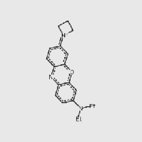 CCN(CC)c1ccc2nc3ccc(=[N+]4CCC4)cc-3oc2c1